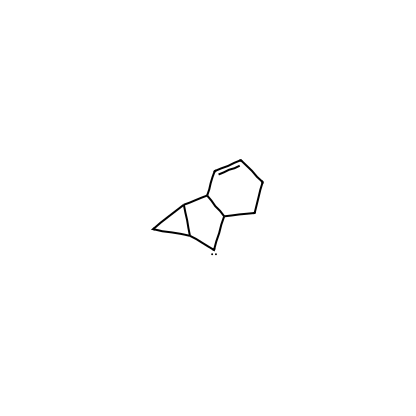 [C]1C2CCC=CC2C2CC12